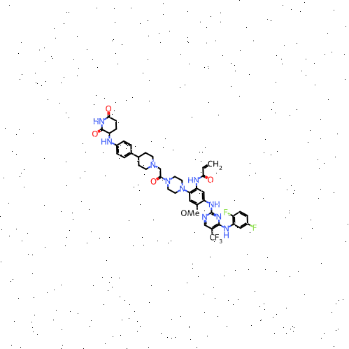 C=CC(=O)Nc1cc(Nc2ncc(C(F)(F)F)c(Nc3cc(F)ccc3F)n2)c(OC)cc1N1CCN(C(=O)CN2CCC(c3ccc(NC4CCC(=O)NC4=O)cc3)CC2)CC1